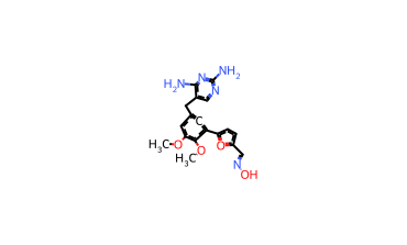 COc1cc(Cc2cnc(N)nc2N)cc(-c2ccc(C=NO)o2)c1OC